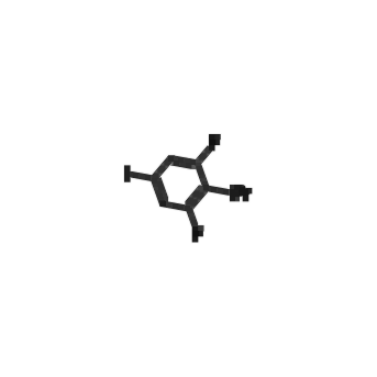 CC(C)c1c(F)cc(I)cc1F